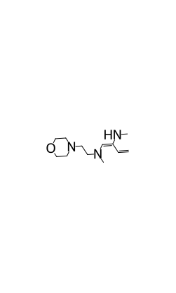 C=C/C(=C\N(C)CCN1CCOCC1)NC